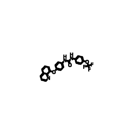 O=C(Nc1ccc(Oc2cccc3cccnc23)cc1)Nc1ccc(OC(F)(F)F)cc1